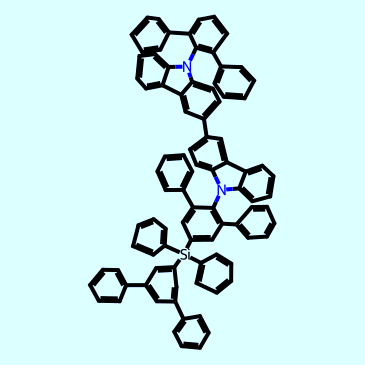 c1ccc(-c2cc(-c3ccccc3)cc([Si](c3ccccc3)(c3ccccc3)c3cc(-c4ccccc4)c(-n4c5ccccc5c5cc(-c6ccc7c(c6)c6ccccc6n7-c6c(-c7ccccc7)cccc6-c6ccccc6)ccc54)c(-c4ccccc4)c3)c2)cc1